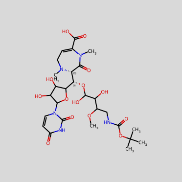 COC(CNC(=O)OC(C)(C)C)C(O)C(O)O[C@H](C1OC(n2ccc(=O)[nH]c2=O)C(O)C1O)[C@H]1C(=O)N(C)C(C(=O)O)=CCN1C